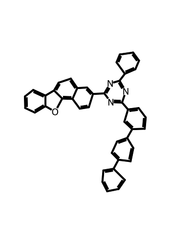 c1ccc(-c2ccc(-c3cccc(-c4nc(-c5ccccc5)nc(-c5ccc6c(ccc7c8ccccc8oc67)c5)n4)c3)cc2)cc1